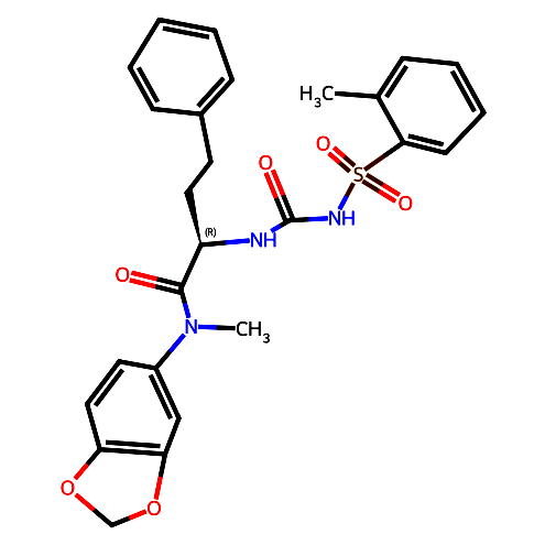 Cc1ccccc1S(=O)(=O)NC(=O)N[C@H](CCc1ccccc1)C(=O)N(C)c1ccc2c(c1)OCO2